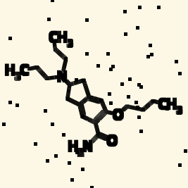 CCCCOc1cc2c(cc1C(N)=O)CC(N(CCC)CCC)C2